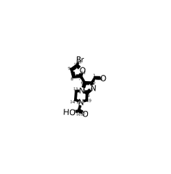 O=Cc1nc2n(c1-c1ccc(Br)o1)CCN(C(=O)O)C2